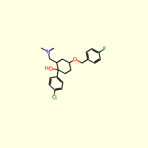 CN(C)CC1CC(OCc2ccc(F)cc2)CCC1(O)c1ccc(Cl)cc1